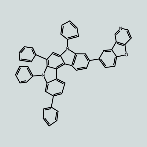 c1ccc(-c2ccc3c4c5c6ccc(-c7ccc8oc9ccncc9c8c7)cc6n(-c6ccccc6)c5cc(-c5ccccc5)c4n(-c4ccccc4)c3c2)cc1